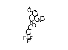 COc1cccc2c1CCN(C(=O)Cc1ccc(C(F)(F)F)cc1)C2CN1CCCC1